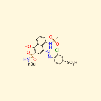 CCCCNS(=O)(=O)c1cc(N=Nc2ccc(S(=O)(=O)O)cc2Cl)c2c(NS(C)(=O)=O)cccc2c1O